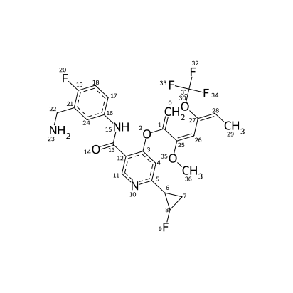 C=C(Oc1cc(C2CC2F)ncc1C(=O)Nc1ccc(F)c(CN)c1)/C(=C\C(=C/C)OC(F)(F)F)OC